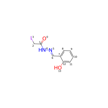 O=C(CI)N/N=C/c1ccccc1O